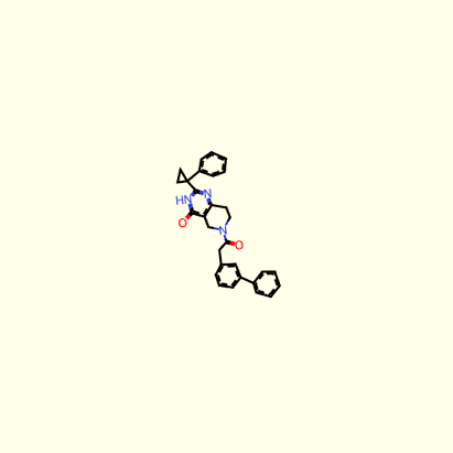 O=C(Cc1cccc(-c2ccccc2)c1)N1CCc2nc(C3(c4ccccc4)CC3)[nH]c(=O)c2C1